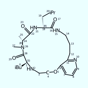 CCC(C)[C@@H]1NCCOc2cccnc2CCCNC(=O)[C@@H](CC(C)C)NC(=O)[C@@H](C)N(C)C1=O